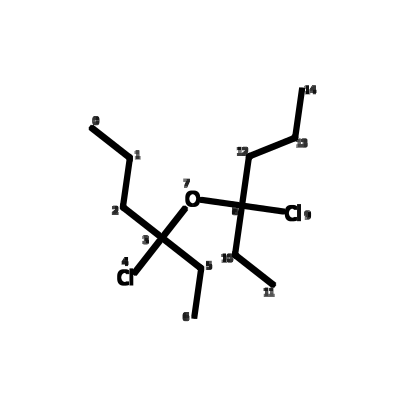 CCCC(Cl)(CC)OC(Cl)(CC)CCC